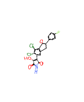 O=C1NC(=O)C(c2cc3c(c(Cl)c2Cl)C(=O)C(c2ccc(F)cc2)C3)=C1O